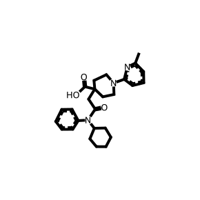 Cc1cccc(N2CCC(CC(=O)N(c3ccccc3)C3CCCCC3)(C(=O)O)CC2)n1